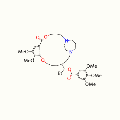 CCC(OC(=O)c1cc(OC)c(OC)c(OC)c1)C1CCCOc2cc(cc(OC)c2OC)C(=O)OCCCN2CCCN(CC1)CC2